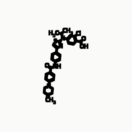 CC(C)N(c1ccc(C(=O)O)c(Cl)c1)c1nc(-c2ccc(NC(=O)c3ccc(N4CCN(C)CC4)cc3)cc2)cs1